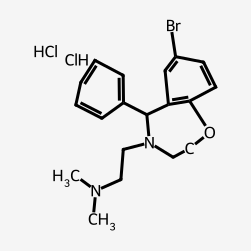 CN(C)CCN1CCOc2ccc(Br)cc2C1c1ccccc1.Cl.Cl